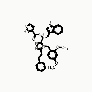 COc1ccc(Cn2c(CCc3ccccc3)nnc2[C@@H](Cc2c[nH]c3ccccc23)NC(=O)c2ccn[nH]2)c(OC)c1